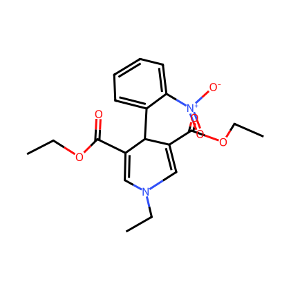 CCOC(=O)C1=CN(CC)C=C(C(=O)OCC)C1c1ccccc1[N+](=O)[O-]